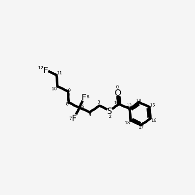 O=C(SCCC(F)(F)CCCCF)c1ccccc1